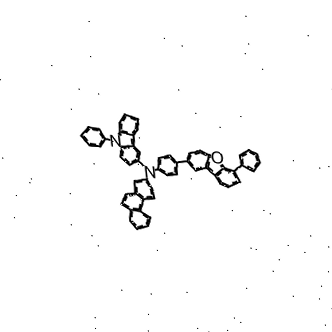 c1ccc(-c2cccc3c2oc2ccc(-c4ccc(N(c5ccc6c(ccc7ccccc76)c5)c5ccc6c(c5)c5ccccc5n6-c5ccccc5)cc4)cc23)cc1